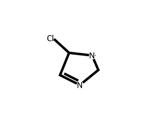 ClC1C=NC[N]1